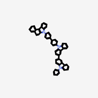 c1ccc(-n2c3ccccc3c3cc(-c4ccc5c(c4)c4ccccc4n5-c4ccc(-c5ccc(-n6c7ccccc7c7c8ccccc8ccc76)cc5)cc4)ccc32)cc1